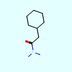 CN(C)C(=O)[C@@H](O)C1CCCCC1